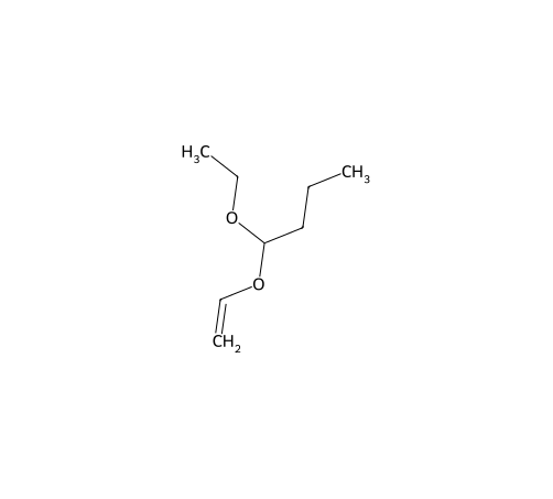 C=COC(CCC)OCC